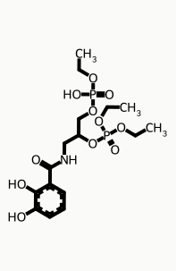 CCOP(=O)(O)OCC(CNC(=O)c1cccc(O)c1O)OP(=O)(OCC)OCC